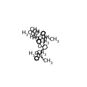 CCCN1/C(=C/C=C2\CCCC(/C=C/C3=[N+](CCC)c4ccccc4C3(C)C)=C2Oc2ccc(CNC(=O)OC(C)(C)C)cc2)C(C)(C)c2ccccc21